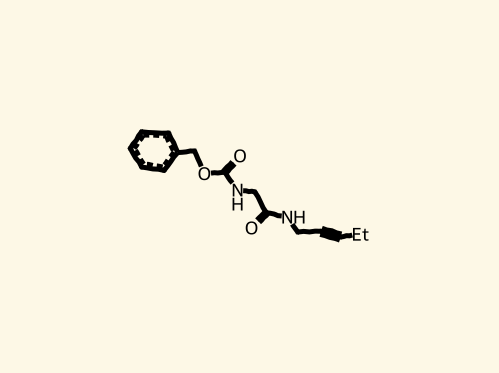 CCC#CCNC(=O)CNC(=O)OCc1ccccc1